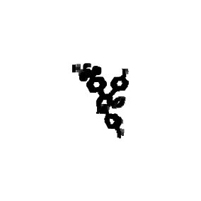 C[Se](=O)(=O)c1ccc(-c2cnn(-c3ccc(F)cc3)c(=O)c2-c2ccc(F)cc2)cc1